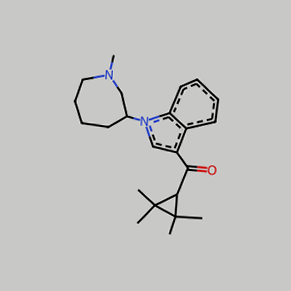 CN1CCCCC(n2cc(C(=O)C3C(C)(C)C3(C)C)c3ccccc32)C1